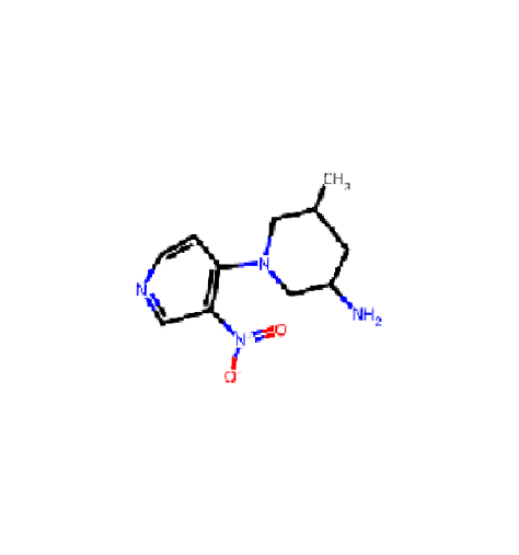 CC1CC(N)CN(c2ccncc2[N+](=O)[O-])C1